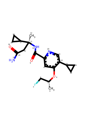 C[C@H](CF)Oc1cc(C(=O)N[C@@](C)(CC(N)=O)C2CC2)ncc1C1CC1